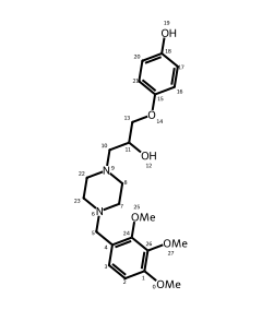 COc1ccc(CN2CCN(CC(O)COc3ccc(O)cc3)CC2)c(OC)c1OC